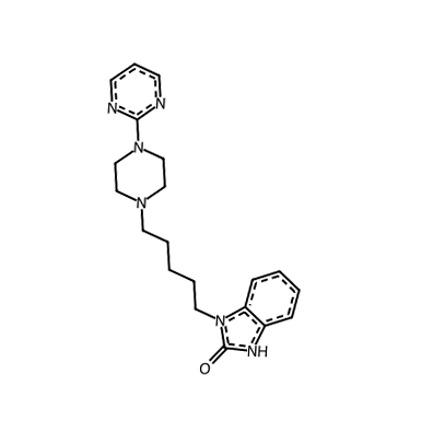 O=c1[nH]c2ccccc2n1CCCCCN1CCN(c2ncccn2)CC1